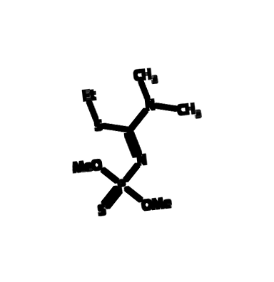 CCS/C(=N\P(=S)(OC)OC)N(C)C